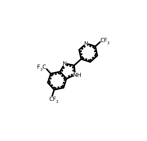 FC(F)(F)c1cc(C(F)(F)F)c2nc(-c3ccc(C(F)(F)F)nc3)[nH]c2c1